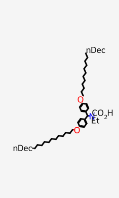 CCCCCCCCCCCCCCCCCCCCCCOc1ccc(C(c2ccc(OCCCCCCCCCCCCCCCCCCCCCC)cc2)N(CC)C(=O)O)cc1